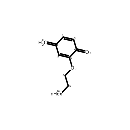 C=C1C=CC(=O)C(OCCCCCCCC)=C1